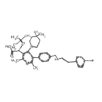 Cc1nc(C)c([C@H](OC(C)(C)C)C(=O)O)c(N2CCC(C)(C)CC2)c1-c1ccc(CNCCc2ccc(F)cc2)cc1